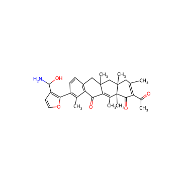 CC(=O)C1=C(C)CC2(C)CC3(C)Cc4ccc(-c5occc5C(N)O)c(C)c4C(=O)C3=C(C)C2(C)C1=O